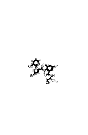 CC(CC#N)NC(=O)c1cc(Br)cc(Cl)c1NC(=O)c1cc(Br)nn1-c1ncccc1Cl